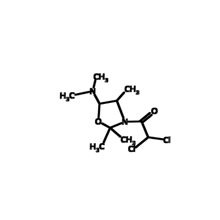 CC1C(N(C)C)OC(C)(C)N1C(=O)C(Cl)Cl